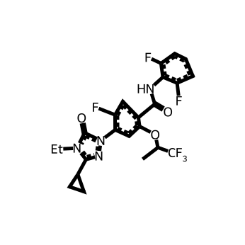 CCn1c(C2CC2)nn(-c2cc(OC(C)C(F)(F)F)c(C(=O)Nc3c(F)cccc3F)cc2F)c1=O